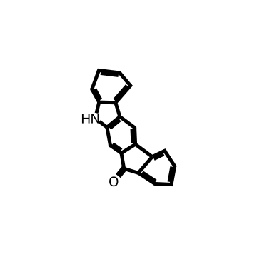 O=C1c2ccccc2-c2cc3c(cc21)[nH]c1ccccc13